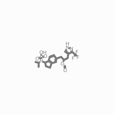 CC(C)N(C1CCc2cc(CC(Cc3c[nH]nc3C(F)(F)F)OC=O)ccc21)S(=O)(=O)O